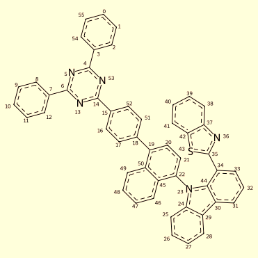 c1ccc(-c2nc(-c3ccccc3)nc(-c3ccc(-c4ccc(-n5c6ccccc6c6cccc(-c7nc8ccccc8s7)c65)c5ccccc45)cc3)n2)cc1